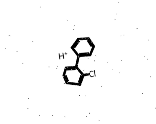 Clc1c[c]ccc1-c1ccccc1.[H+]